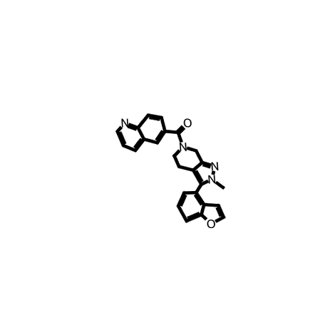 Cn1nc2c(c1-c1cccc3occc13)CCN(C(=O)c1ccc3ncccc3c1)C2